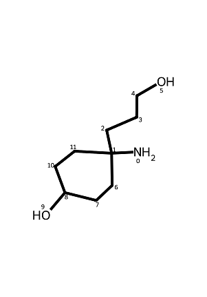 NC1(CCCO)CCC(O)CC1